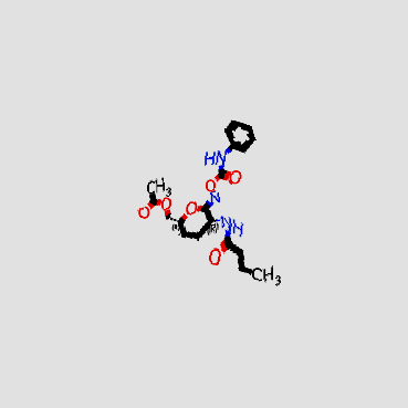 CCCC(=O)N[C@@H]1[CH][CH][C@H](COC(C)=O)OC1=NOC(=O)Nc1ccccc1